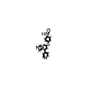 O=CNc1ccc(SC(CCc2ccncc2)Cn2ccnc2)cc1